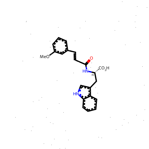 COc1cccc(C=CC(=O)N[C@@H](Cc2c[nH]c3ccccc23)C(=O)O)c1